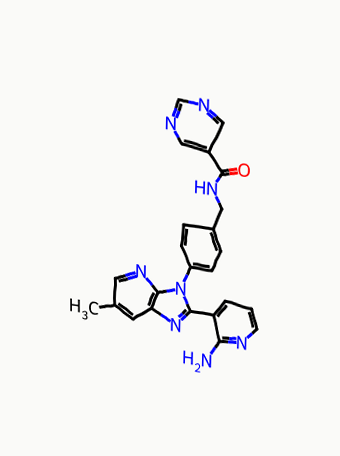 Cc1cnc2c(c1)nc(-c1cccnc1N)n2-c1ccc(CNC(=O)c2cncnc2)cc1